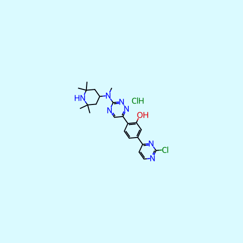 CN(c1ncc(-c2ccc(-c3ccnc(Cl)n3)cc2O)nn1)C1CC(C)(C)NC(C)(C)C1.Cl